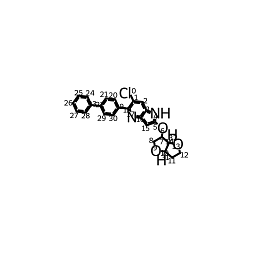 Clc1cc2[nH]c(OC3CO[C@@H]4CCO[C@H]34)cc2nc1-c1ccc(-c2ccccc2)cc1